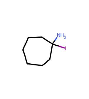 NC1(I)CCCCCC1